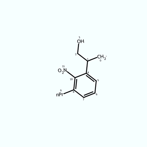 [CH2]C(CO)c1cccc(CCC)c1[N+](=O)[O-]